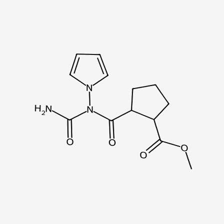 COC(=O)C1CCCC1C(=O)N(C(N)=O)n1cccc1